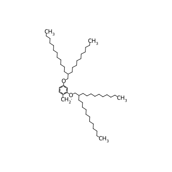 [CH2]c1ccc(OCC(CCCCCCCCCC)CCCCCCCCCCCC)cc1OCC(CCCCCCCCCC)CCCCCCCCCCCC